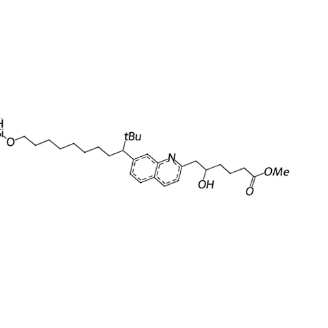 COC(=O)CCCC(O)Cc1ccc2ccc(C(CCCCCCCCO[SiH](C)C)C(C)(C)C)cc2n1